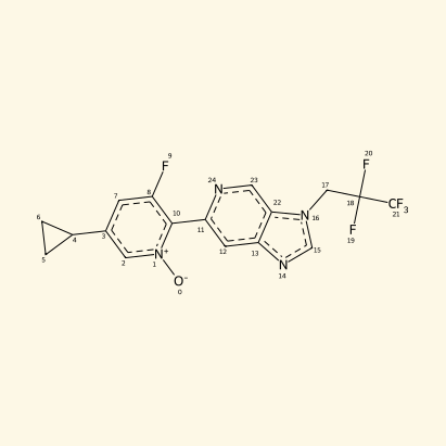 [O-][n+]1cc(C2CC2)cc(F)c1-c1cc2ncn(CC(F)(F)C(F)(F)F)c2cn1